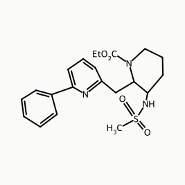 CCOC(=O)N1CCCC(NS(C)(=O)=O)C1Cc1cccc(-c2ccccc2)n1